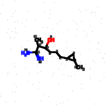 CC1CC1CCCC(O)C(C)C(=N)N